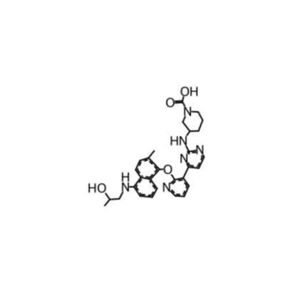 Cc1ccc2c(NCC(C)O)cccc2c1Oc1ncccc1-c1ccnc(NC2CCCN(C(=O)O)C2)n1